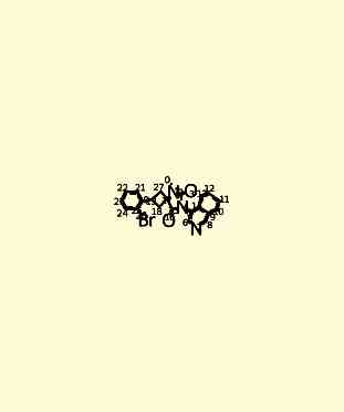 CN1C(=O)N(c2cncc3ccccc23)C(=O)C12CC(c1ccccc1Br)C2